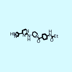 CCC(=O)Nc1ccc(C(=O)N2CCC[C@@H](Nc3nccc(-c4cn[nH]c4)n3)C2)cc1